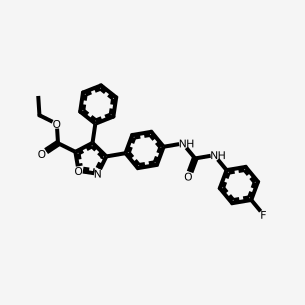 CCOC(=O)c1onc(-c2ccc(NC(=O)Nc3ccc(F)cc3)cc2)c1-c1ccccc1